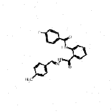 Cc1ccc(C=NNC(=O)c2ccccc2NC(=O)c2ccc(F)cc2)cc1